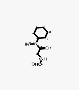 CC(C)N(C(=O)CN[C]=O)C1CCCCC1